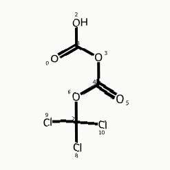 O=C(O)OC(=O)OC(Cl)(Cl)Cl